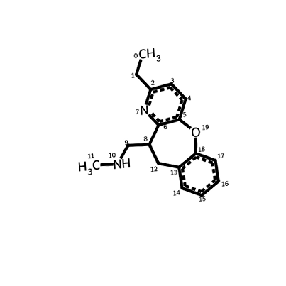 CCc1ccc2c(n1)C(CNC)Cc1ccccc1O2